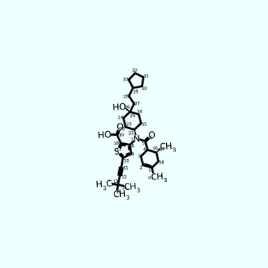 CC1=CCC(C(=O)N(c2cc(C#CC(C)(C)C)sc2C(=O)O)[C@H]2CC[C@](O)(CCC3CCCC3)CC2)[C@@H](C)C1